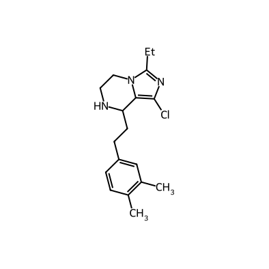 CCc1nc(Cl)c2n1CCNC2CCc1ccc(C)c(C)c1